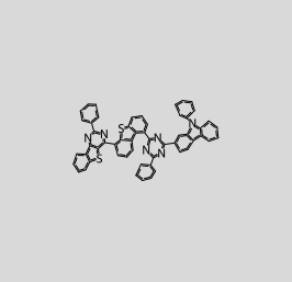 c1ccc(-c2nc(-c3ccc4c5ccccc5n(-c5ccccc5)c4c3)nc(-c3cccc4sc5c(-c6nc(-c7ccccc7)nc7c6sc6ccccc67)cccc5c34)n2)cc1